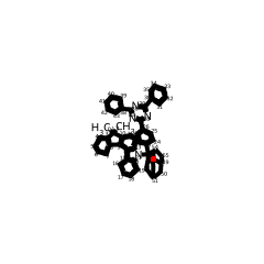 CC1(C)c2ccccc2-c2c1ccc1c2c2ccccc2n1C1(c2ccc(-c3nc(-c4ccccc4)nc(-c4ccccc4)n3)cc2)C2CC3CC(C2)CC1C3